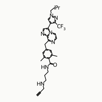 C#CCNCCCNC(=O)c1c(C)cc(Cc2nccn3c(-c4cn(CC(C)C)nc4C(F)(F)F)cnc23)cc1C